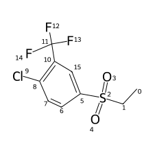 CCS(=O)(=O)c1ccc(Cl)c(C(F)(F)F)c1